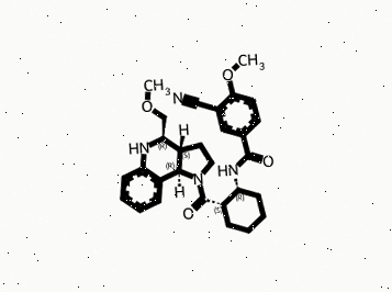 COC[C@@H]1Nc2ccccc2[C@H]2[C@H]1CCN2C(=O)[C@H]1CCCC[C@H]1NC(=O)c1ccc(OC)c(C#N)c1